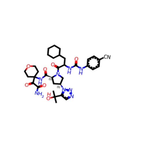 CC(C)(O)c1cnnn1[C@H]1C[C@@H](C(=O)NC2(C(=O)C(N)=O)CCOCC2)N(C(=O)C(CC2CCCCC2)NC(=O)Nc2ccc(C#N)cc2)C1